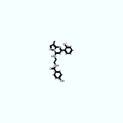 Cc1cnn2c(NCCNC(=O)c3ccc(O)cc3)cc(-c3ccccc3Cl)nc12